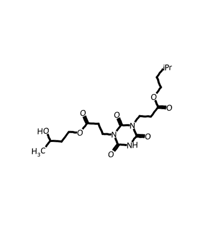 CC(C)CCOC(=O)CCn1c(=O)[nH]c(=O)n(CCC(=O)OCCC(C)O)c1=O